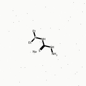 CCN(CC)NC(=S)NN.[Na]